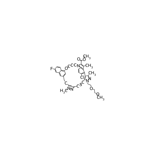 COCCOCCn1nc(C)c2c1CSCc1cc(n(C)n1)CCc1cc(c3ccc(F)cc3c1)OCCCn1c(C(=O)OC)c(C)c3c-2c(Cl)ccc31